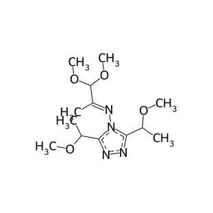 COC(OC)C(C)=Nn1c(C(C)OC)nnc1C(C)OC